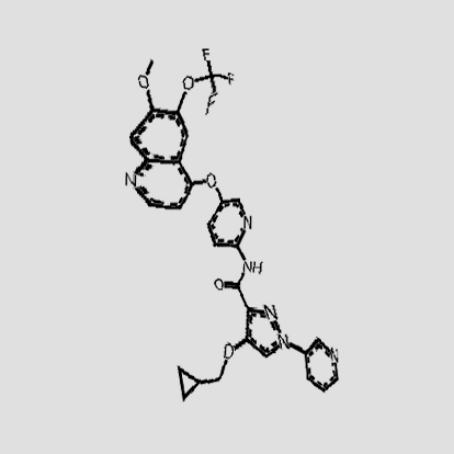 COc1cc2nccc(Oc3ccc(NC(=O)c4nn(-c5cccnc5)cc4OCC4CC4)nc3)c2cc1OC(F)(F)F